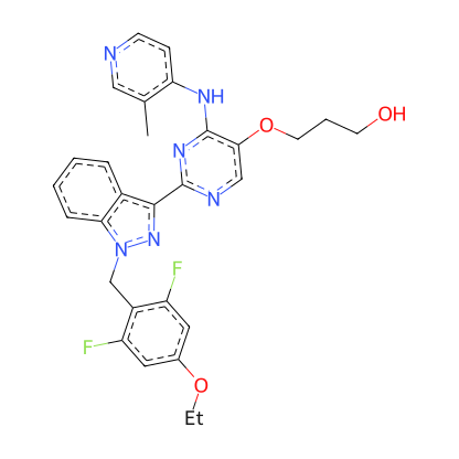 CCOc1cc(F)c(Cn2nc(-c3ncc(OCCCO)c(Nc4ccncc4C)n3)c3ccccc32)c(F)c1